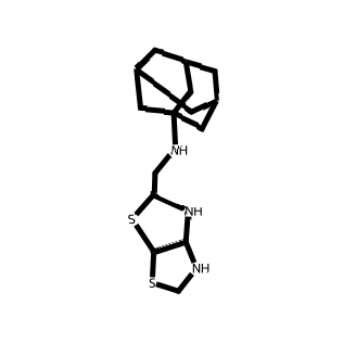 C1NC2NC(CNC34CC5CC(CC(C5)C3)C4)SC2S1